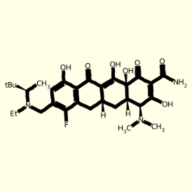 CCN(Cc1cc(O)c2c(c1F)C[C@H]1C[C@H]3[C@H](N(C)C)C(O)=C(C(N)=O)C(=O)[C@@]3(O)C(O)=C1C2=O)[C@H](C)C(C)(C)C